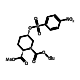 COC(=O)[C@@H]1CC[C@H](OS(=O)(=O)c2ccc([N+](=O)[O-])cc2)CN1C(=O)OC(C)(C)C